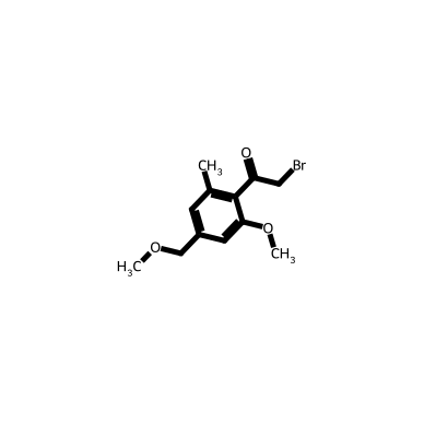 COCc1cc(C)c(C(=O)CBr)c(OC)c1